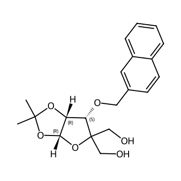 CC1(C)O[C@H]2OC(CO)(CO)[C@@H](OCc3ccc4ccccc4c3)[C@H]2O1